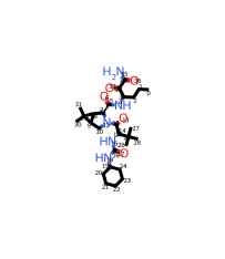 CCCC(NC(=O)[C@@H]1C2C(CN1C(=O)[C@@H](NC(=O)NC1CCCCC1)C(C)(C)C)C2(C)C)C(=O)C(N)=O